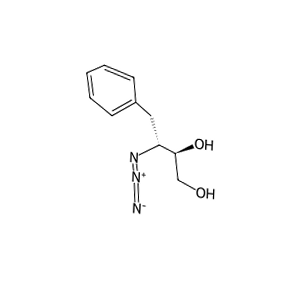 [N-]=[N+]=N[C@H](Cc1ccccc1)[C@@H](O)CO